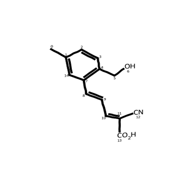 Cc1ccc(CO)c(/C=C/C=C(\C#N)C(=O)O)c1